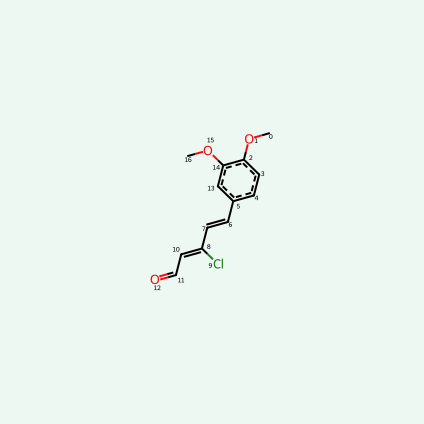 COc1ccc(/C=C/C(Cl)=CC=O)cc1OC